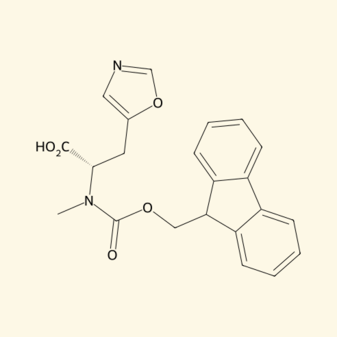 CN(C(=O)OCC1c2ccccc2-c2ccccc21)[C@@H](Cc1cnco1)C(=O)O